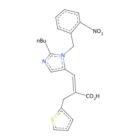 CCCCc1ncc(/C=C(\Cc2cccs2)C(=O)O)n1Cc1ccccc1[N+](=O)[O-]